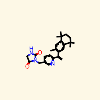 C=C(c1ccc(CN2C(=O)CNC2=O)cn1)c1cc2c(cc1C)C(C)(C)CCC2(C)C